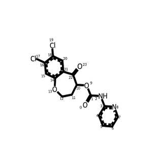 O=C(Nc1ccccn1)OC1CCOc2cc(Cl)c(Cl)cc2C1=O